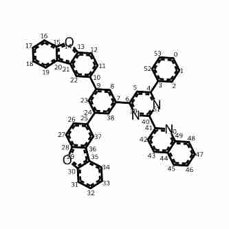 c1ccc(-c2cc(-c3cc(-c4ccc5oc6ccccc6c5c4)cc(-c4ccc5oc6ccccc6c5c4)c3)nc(-c3ccc4ccccc4n3)n2)cc1